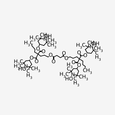 CCCCC(CCCOC(=O)CCC(=O)OCCCC(CCCC)(C(=O)OC1CC(C)(C)N(O)C(C)(C)C1)C(=O)OC1CC(C)(C)N(O)C(C)(C)C1)(C(=O)OC1CC(C)(C)N(O)C(C)(C)C1)C(=O)OC1CC(C)(C)N(O)C(C)(C)C1